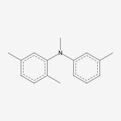 Cc1cccc(N(C)c2cc(C)ccc2C)c1